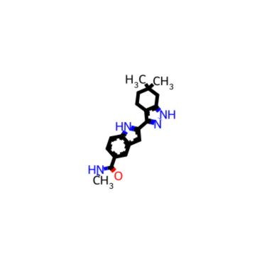 CNC(=O)c1ccc2[nH]c(-c3n[nH]c4c3CCC(C)(C)C4)cc2c1